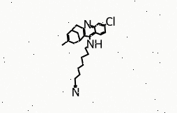 CC1=CC2Cc3nc4cc(Cl)ccc4c(NCCCCCCCC#N)c3C(C1)C2